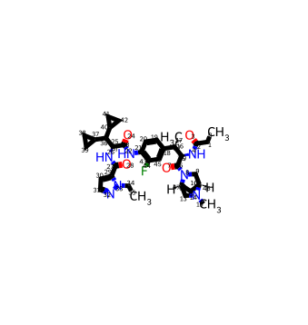 CCC(=O)N[C@@H](C(=O)N1C[C@@H]2C[C@H]1CN2C)[C@@H](C)c1ccc(NC(=O)[C@@H](NC(=O)c2ccnn2CC)C(C2CC2)C2CC2)c(F)c1